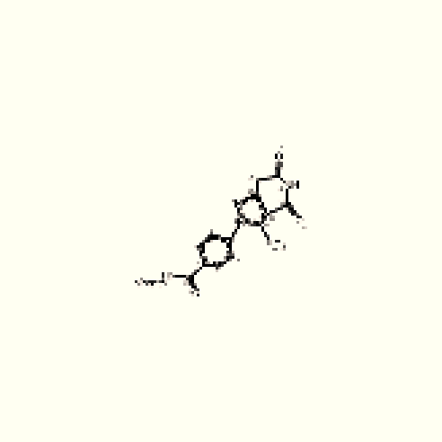 CCCCCNC(=O)c1ccc(-n2nc3c(c2N)C(=O)NC(=O)C3)cc1